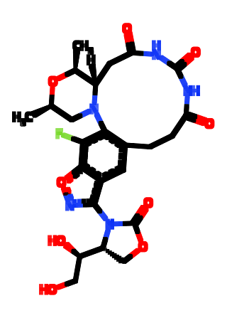 C[C@@H]1CN2c3c(cc4c(N5C(=O)OC[C@@H]5[C@H](O)CO)noc4c3F)CCC(=O)NC(=O)NC(=O)C[C@H]2[C@H](C)O1